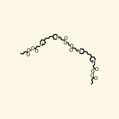 CCCC(=O)OCOC(=O)CCN1CCC(CCCC2CCN(CCC(=O)OCCOC(=O)CCN3CCC(CCCC4CCN(CCC(=O)OCOC(=O)CCC)CC4)CC3)CC2)CC1